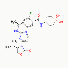 CC(C)C1COC(=O)N1c1ccnc(N[C@@H](C)c2ccc(C(=O)NC3CCS(O)(O)CC3)c(F)c2)n1